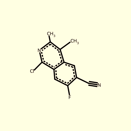 Cc1nc(Cl)c2cc(F)c(C#N)cc2c1C